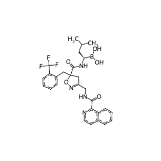 CC(C)C[C@H](NC(=O)C1(Cc2ccccc2C(F)(F)F)CC(CNC(=O)c2nccc3ccccc23)=NO1)B(O)O